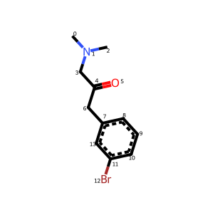 CN(C)CC(=O)Cc1cccc(Br)c1